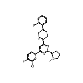 C[C@@H]1CN(c2ccccc2F)CCN1c1cc(-c2ccc(F)c(Cl)c2)nc(N2CCC[C@@H]2C)n1